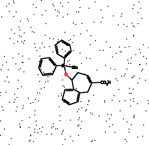 CC(C)(C)[Si](OC1CC=C(C(=O)O)Cc2ccccc21)(c1ccccc1)c1ccccc1